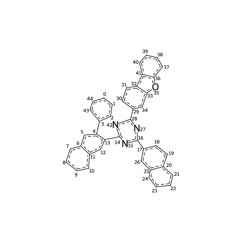 c1ccc(-c2cc3ccccc3cc2-c2nc(-c3ccc4ccccc4c3)nc(-c3ccc4c(c3)oc3ccccc34)n2)cc1